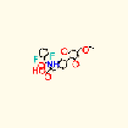 CCOCC1=CC(OC)=C(c2ccc(C[C@H](NC(=O)c3c(F)cccc3F)C(=O)O)cc2)C(OC)C1